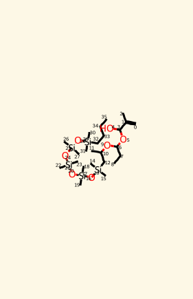 C=C(C)C(O)OC(CC)OC(C)C[Si](C)(C)O[Si](C)(C)O[Si](C)(C)O[Si](C)(C)O[Si](C)(C)CCCC